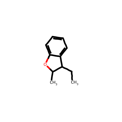 CCC1c2ccccc2OC1C